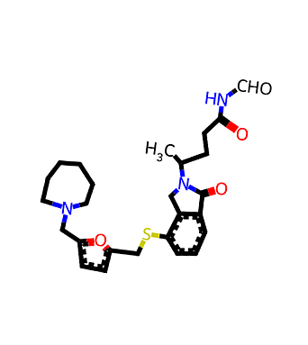 CC(CCC(=O)NC=O)N1Cc2c(SCc3ccc(CN4CCCCCC4)o3)cccc2C1=O